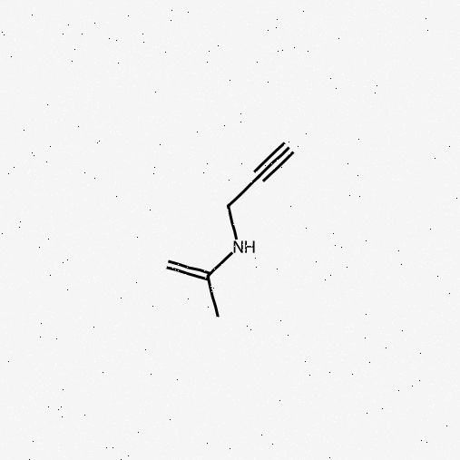 C#CCNC(=C)C